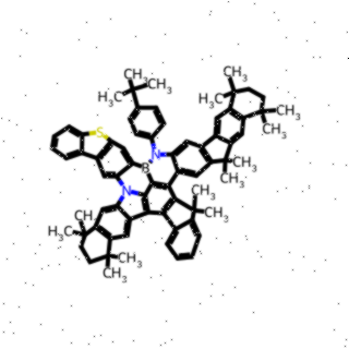 CC(C)(C)c1ccc(N2B3c4cc5sc6ccccc6c5cc4-n4c5cc6c(cc5c5c7c(c(c3c54)-c3cc4c(cc32)-c2cc3c(cc2C4(C)C)C(C)(C)CCC3(C)C)C(C)(C)c2ccccc2-7)C(C)(C)CCC6(C)C)cc1